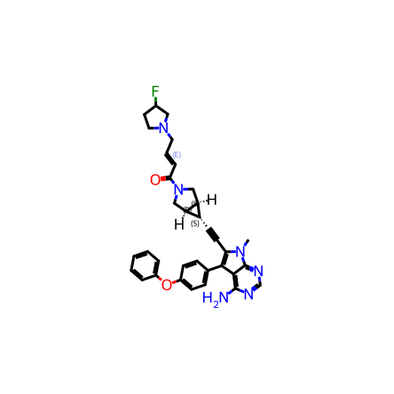 Cn1c(C#C[C@@H]2[C@H]3CN(C(=O)/C=C/CN4CCC(F)C4)C[C@@H]23)c(-c2ccc(Oc3ccccc3)cc2)c2c(N)ncnc21